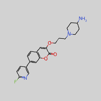 NC1CCN(CCCOc2cc3ccc(-c4ccc(F)nc4)cc3oc2=O)CC1